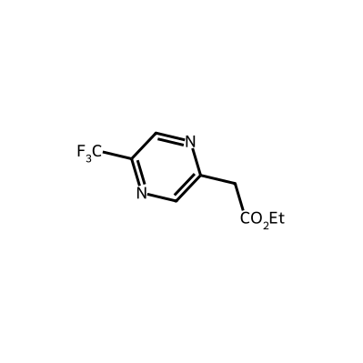 CCOC(=O)Cc1cnc(C(F)(F)F)cn1